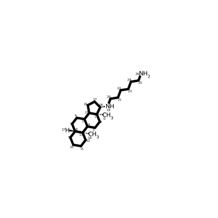 C[C@]12CCC3C(CC[C@H]4CCCC[C@]34C)C1CC[C@@H]2NCCCCCCN